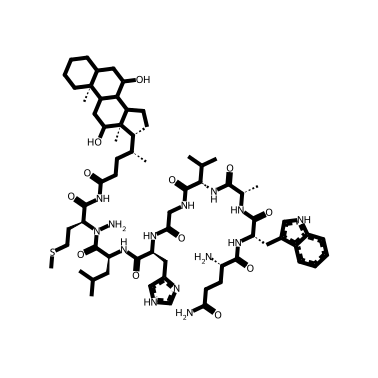 CSCC[C@@H](C(=O)NC(=O)CC[C@@H](C)[C@H]1CCC2C3C(O)CC4CCCC[C@]4(C)C3CC(O)[C@@]21C)N(N)C(=O)[C@H](CC(C)C)NC(=O)[C@H](Cc1c[nH]cn1)NC(=O)CNC(=O)[C@@H](NC(=O)[C@H](C)NC(=O)[C@H](Cc1c[nH]c2ccccc12)NC(=O)[C@@H](N)CCC(N)=O)C(C)C